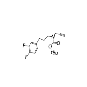 C#CCN(CCCc1ccc(F)c(F)c1)C(=O)OC(C)(C)C